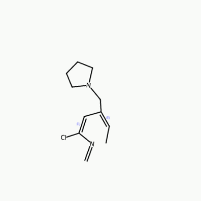 C=N/C(Cl)=C\C(=C/C)CN1CCCC1